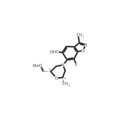 COC[C@@H]1CN(c2c(C=O)cc3c(C)noc3c2F)C[C@H](C)O1